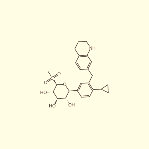 CS(=O)(=O)[C@H]1O[C@@H](c2ccc(C3CC3)c(Cc3ccc4c(c3)NCCC4)c2)[C@H](O)[C@@H](O)[C@@H]1O